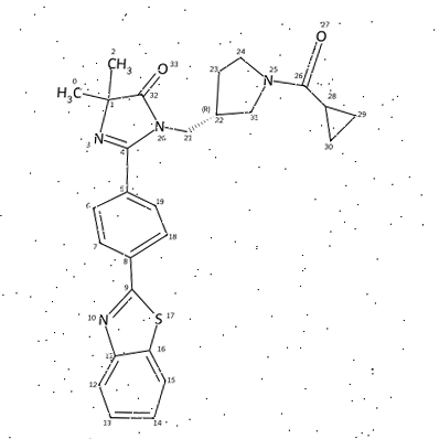 CC1(C)N=C(c2ccc(-c3nc4ccccc4s3)cc2)N(C[C@@H]2CCN(C(=O)C3CC3)C2)C1=O